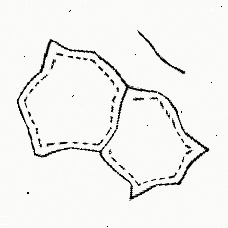 CC.c1ccc2ccccc2c1